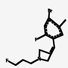 Cc1cc(C=C2CN(CCCF)C2)c(F)cc1Br